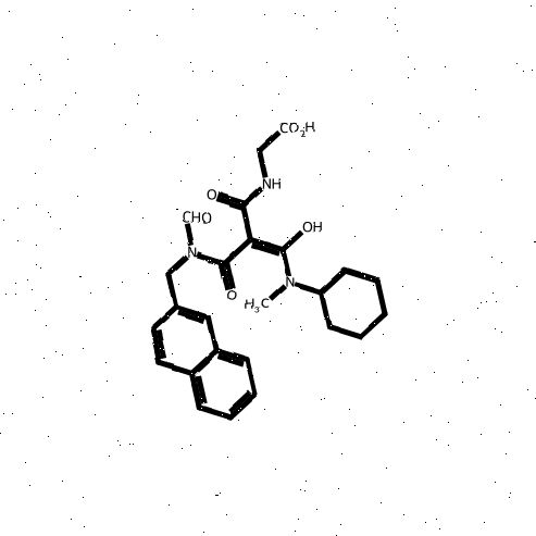 CN(/C(O)=C(/C(=O)NCC(=O)O)C(=O)N(C=O)Cc1ccc2ccccc2c1)C1CCCCC1